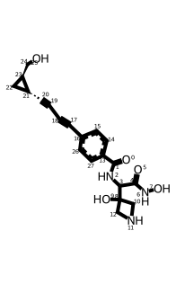 O=C(NC(C(=O)NO)C1(O)CNC1)c1ccc(C#CC#C[C@@H]2C[C@H]2CO)cc1